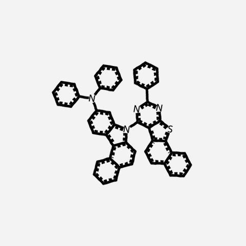 c1ccc(-c2nc(-n3c4cc(N(c5ccccc5)c5ccccc5)ccc4c4c5ccccc5ccc43)c3c(n2)sc2c4ccccc4ccc23)cc1